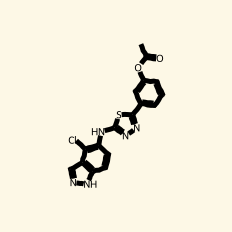 CC(=O)Oc1cccc(-c2nnc(Nc3ccc4[nH]ncc4c3Cl)s2)c1